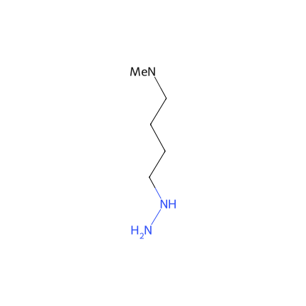 CNCCCCNN